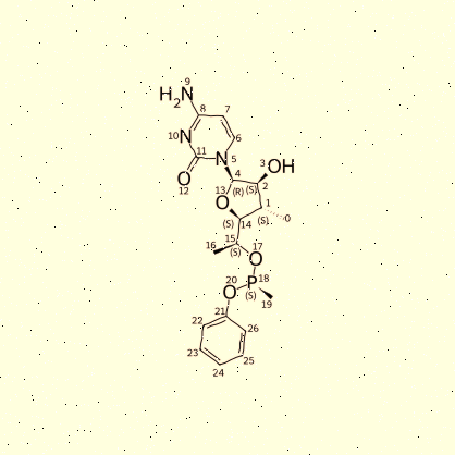 C[C@H]1[C@H](O)[C@H](n2ccc(N)nc2=O)O[C@@H]1[C@H](C)O[P@@](C)Oc1ccccc1